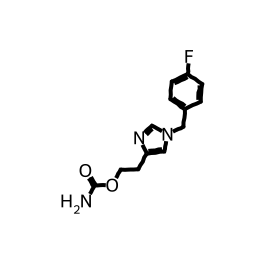 NC(=O)OCCc1cn(Cc2ccc(F)cc2)cn1